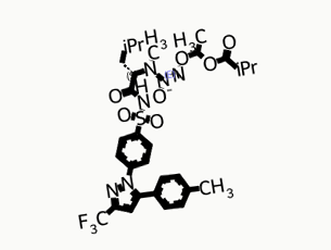 Cc1ccc(-c2cc(C(F)(F)F)nn2-c2ccc(S(=O)(=O)NC(=O)[C@H](CC(C)C)N(C)/[N+]([O-])=N\OC(C)OC(=O)C(C)C)cc2)cc1